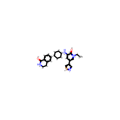 CC(C)Cn1cc(-c2cnsc2)cc(N[C@H]2CC[C@@H](c3ccc4c(c3)CCNC4=O)CC2)c1=O